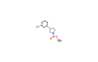 CC(C)(C)OC(=O)N1CCC(c2cccc(Cl)c2)C1